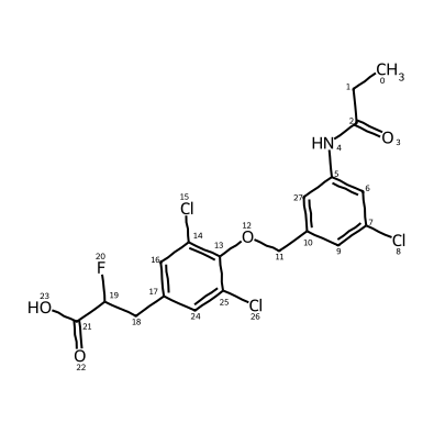 CCC(=O)Nc1cc(Cl)cc(COc2c(Cl)cc(CC(F)C(=O)O)cc2Cl)c1